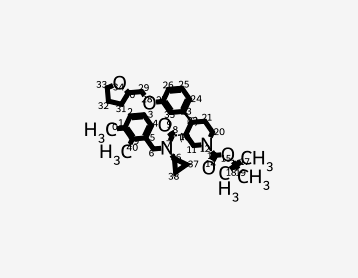 Cc1cccc(CN(C(=O)[C@H]2CN(C(=O)OC(C)(C)C)CC[C@@H]2c2cccc(OCC3CCCO3)c2)C2CC2)c1C